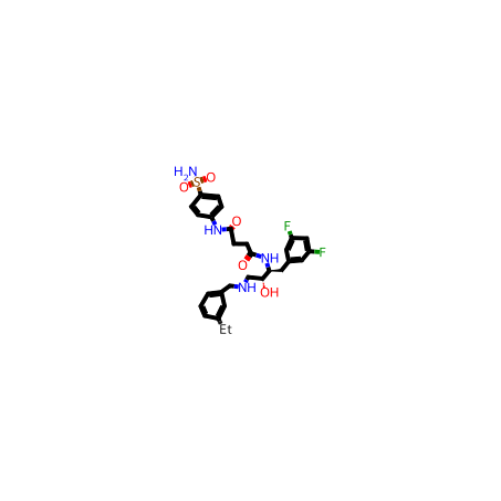 CCc1cccc(CNC[C@@H](O)[C@H](Cc2cc(F)cc(F)c2)NC(=O)CCC(=O)Nc2ccc(S(N)(=O)=O)cc2)c1